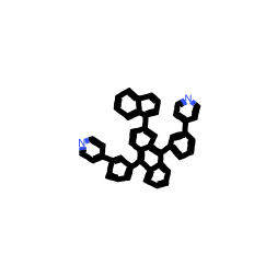 c1cc(-c2ccncc2)cc(-c2c3ccccc3c(-c3cccc(-c4ccncc4)c3)c3cc(-c4cccc5ccccc45)ccc23)c1